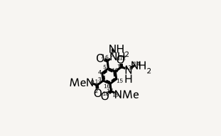 CNC(=O)c1cc(C(=O)NN)c(C(=O)NN)cc1C(=O)NC